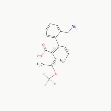 C\C=C/C(=C(\C=C(/C)OC(F)(F)F)C(=O)O)c1ccccc1CN